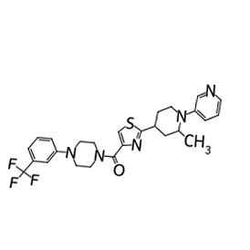 CC1CC(c2nc(C(=O)N3CCN(c4cccc(C(F)(F)F)c4)CC3)cs2)CCN1c1cccnc1